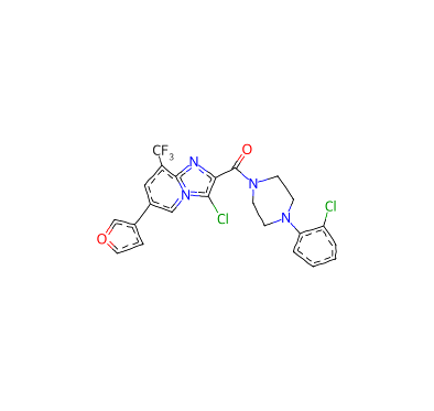 O=C(c1nc2c(C(F)(F)F)cc(-c3ccoc3)cn2c1Cl)N1CCN(c2ccccc2Cl)CC1